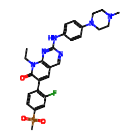 CCn1c(=O)c(-c2ccc(S(C)(=O)=O)cc2F)cc2cnc(Nc3ccc(N4CCN(C)CC4)cc3)nc21